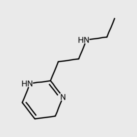 CCNCCC1=NCC=CN1